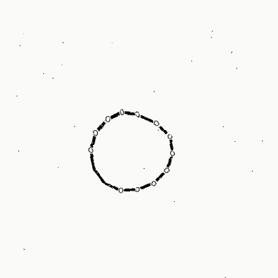 C1COOOOOOOOOOOO1